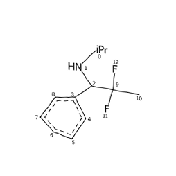 CC(C)NC(c1ccccc1)C(C)(F)F